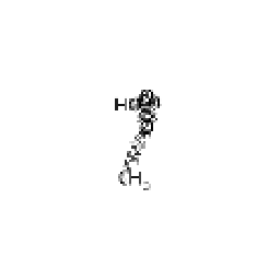 CCCCCCCCCCCCOc1ccc(C2=C(O)COC2=O)cc1